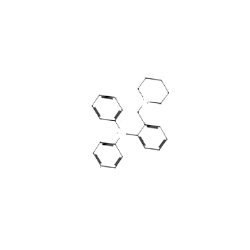 c1ccc(P(c2ccccc2)c2ccccc2CN2CCCCC2)cc1